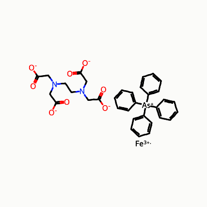 O=C([O-])CN(CCN(CC(=O)[O-])CC(=O)[O-])CC(=O)[O-].[Fe+3].c1ccc([As+](c2ccccc2)(c2ccccc2)c2ccccc2)cc1